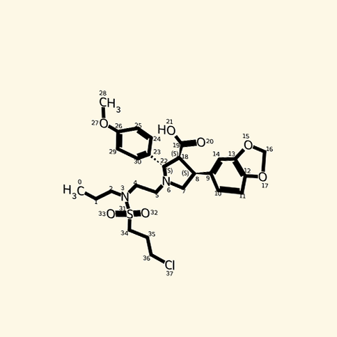 CCCN(CCN1C[C@H](c2ccc3c(c2)OCO3)[C@H](C(=O)O)[C@H]1c1ccc(OC)cc1)S(=O)(=O)CCCCl